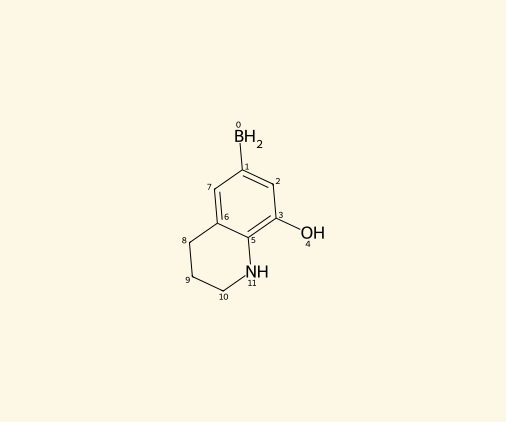 Bc1cc(O)c2c(c1)CCCN2